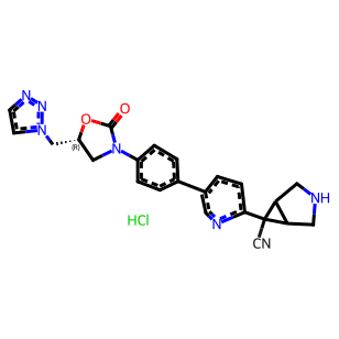 Cl.N#CC1(c2ccc(-c3ccc(N4C[C@H](Cn5ccnn5)OC4=O)cc3)cn2)C2CNCC21